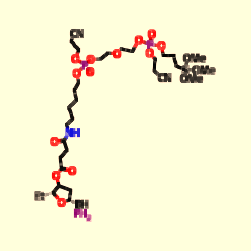 CC[C@H]1O[C@@H](BP)CC1OC(=O)CCC(=O)NCCCCCCOP(=O)(OCCC#N)OCCOCCOP(=O)(OCCC#N)OCCC[Si](OC)(OC)OC